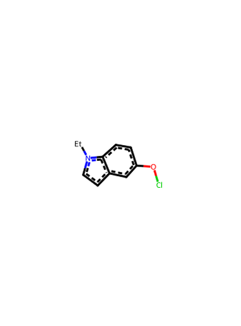 CCn1ccc2cc(OCl)ccc21